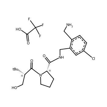 CC(C)(C)[C@@H](CO)C(=O)N1CCC[C@H]1C(=O)NCc1cc(Cl)ccc1CN.O=C(O)C(F)(F)F